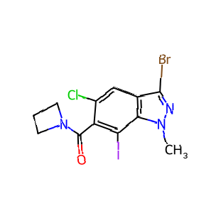 Cn1nc(Br)c2cc(Cl)c(C(=O)N3CCC3)c(I)c21